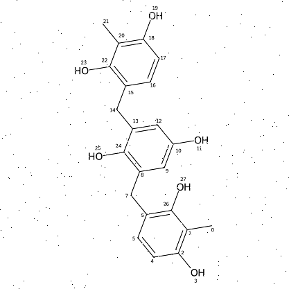 Cc1c(O)ccc(Cc2cc(O)cc(Cc3ccc(O)c(C)c3O)c2O)c1O